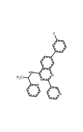 CC(Nc1nc(-c2cccnc2)nc2cc(-c3cccc(F)c3)ccc12)c1ccccn1